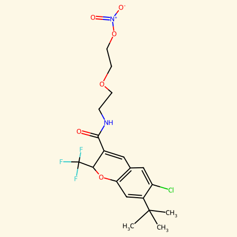 CC(C)(C)c1cc2c(cc1Cl)C=C(C(=O)NCCOCCO[N+](=O)[O-])C(C(F)(F)F)O2